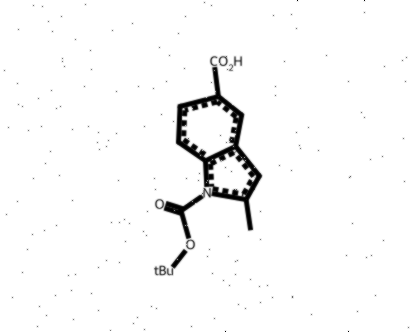 Cc1cc2cc(C(=O)O)ccc2n1C(=O)OC(C)(C)C